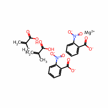 C=C(C)C(=O)O.C=C(C)C(=O)O.O=C([O-])c1ccccc1[N+](=O)[O-].O=C([O-])c1ccccc1[N+](=O)[O-].[Mg+2]